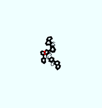 c1ccc(-c2ccccc2N(c2ccc3c(c2)oc2c4ccccc4ccc32)c2cccc3c2sc2ccc4sc5c6ccccc6ccc5c4c23)cc1